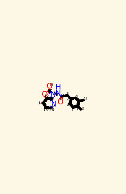 Cc1ccc(CC(=O)Nn2c(=O)oc3cccnc32)cc1C